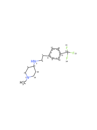 CN1CCC(NCCc2ccc(C(F)(F)F)cc2)CC1